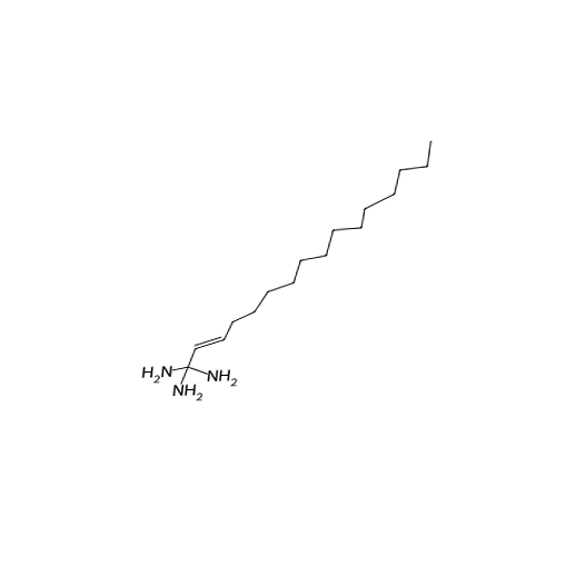 CCCCCCCCCCCCCC=CC(N)(N)N